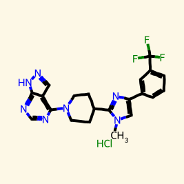 Cl.Cn1cc(-c2cccc(C(F)(F)F)c2)nc1C1CCN(c2ncnc3[nH]ncc23)CC1